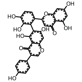 O=c1cc(-c2ccc(O)c(O)c2-c2c(O)cc3occ(-c4ccc(O)cc4)c(=O)c3c2O)oc2cc(O)cc(O)c12